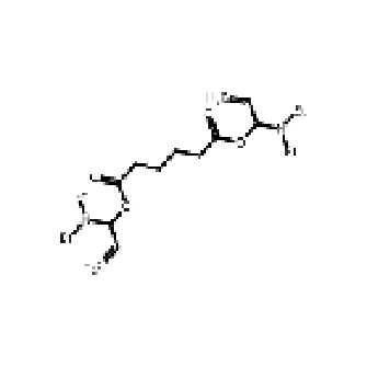 C=CC(OC(=O)CCCCC(=O)OC(C=C)N(CC)CC)N(CC)CC